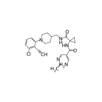 C#Cc1c(Cl)cccc1N1CCC(CNC(=O)C2(NC(=O)C(/C=N\C=C)=C/N)CC2)CC1